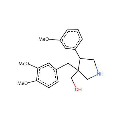 COc1cccc(C2CNCC2(CO)Cc2ccc(OC)c(OC)c2)c1